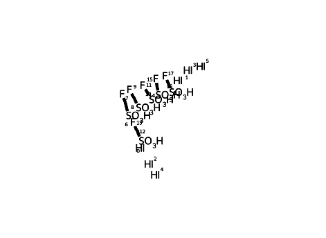 I.I.I.I.I.I.O=S(=O)(O)F.O=S(=O)(O)F.O=S(=O)(O)F.O=S(=O)(O)F.O=S(=O)(O)F.O=S(=O)(O)F